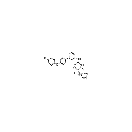 NC(=O)C(Cc1cnc[nH]1)NC(=O)Nc1cccc(-c2ccc(Oc3ccc(F)cc3)cc2)n1